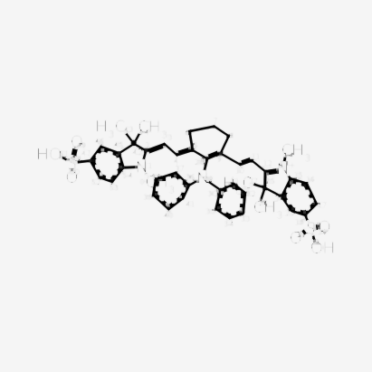 CN1/C(=C\C=C2/CCCC(/C=C/C3=[N+](C)c4ccc(S(=O)(=O)O)cc4C3(C)C)=C2N(c2ccccc2)c2ccccc2)C(C)(C)c2cc(S(=O)(=O)O)ccc21